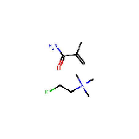 C=C(C)C(N)=O.C[N+](C)(C)CCCl